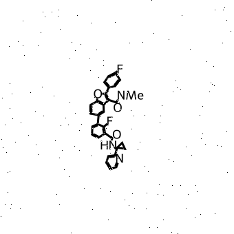 CNC(=O)c1c(-c2ccc(F)cc2)oc2ccc(-c3cccc(C(=O)NC4(c5ccccn5)CC4)c3F)cc12